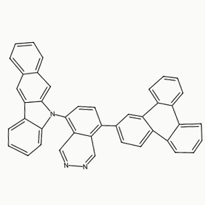 c1ccc2cc3c(cc2c1)c1ccccc1n3-c1ccc(-c2ccc3c4ccccc4c4ccccc4c3c2)c2cnncc12